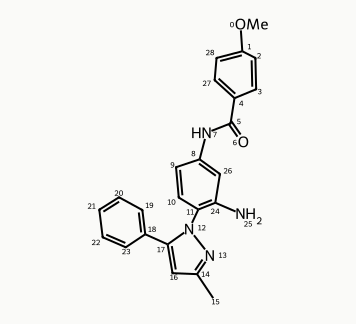 COc1ccc(C(=O)Nc2ccc(-n3nc(C)cc3-c3ccccc3)c(N)c2)cc1